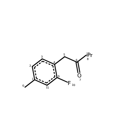 Cc1ccc(CC(=O)C(C)C)c(F)c1